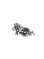 CN(C)c1cc(C(=O)NCC(C)(C)C)c(O)c2c1C[C@H]1C[C@H]3[C@H](N(C)C)C(O)=C(C(N)=O)C(=O)[C@@]3(O)C(O)=C1C2